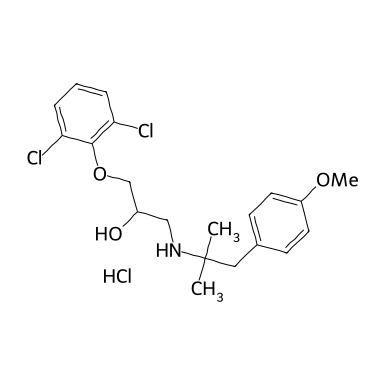 COc1ccc(CC(C)(C)NCC(O)COc2c(Cl)cccc2Cl)cc1.Cl